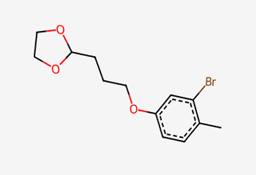 Cc1ccc(OCCCC2OCCO2)cc1Br